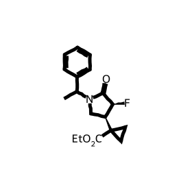 CCOC(=O)C1([C@H]2CN(C(C)c3ccccc3)C(=O)[C@H]2F)CC1